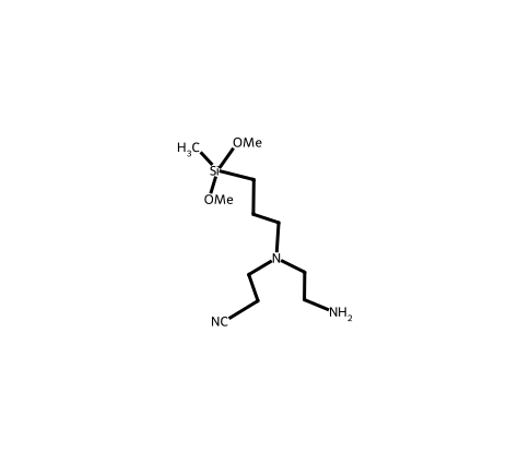 CO[Si](C)(CCCN(CCN)CCC#N)OC